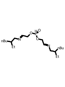 CCCCC(CC)CN=CCO[PH](=O)OCC=NCC(CC)CCCC